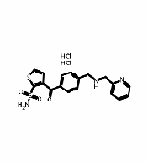 Cl.Cl.NS(=O)(=O)c1sccc1C(=O)c1ccc(CNCc2ccccn2)cc1